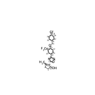 CN1CC[C@H](O)[C@H]1c1nc(-c2ccc(OCc3ccc(C(F)(F)F)cc3)c(C(F)(F)F)c2)no1